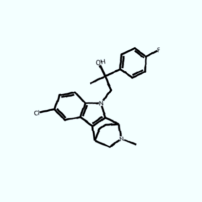 CN1CC2CCC1c1c2c2cc(Cl)ccc2n1CC(C)(O)c1ccc(F)cc1